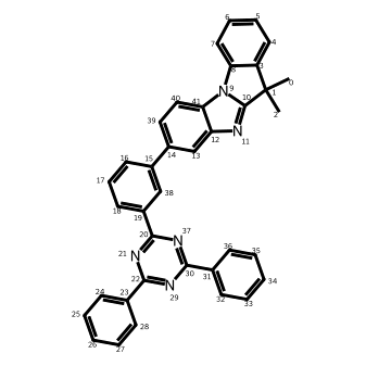 CC1(C)c2ccccc2-n2c1nc1cc(-c3cccc(-c4nc(-c5ccccc5)nc(-c5ccccc5)n4)c3)ccc12